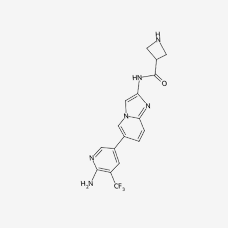 Nc1ncc(-c2ccc3nc(NC(=O)C4CNC4)cn3c2)cc1C(F)(F)F